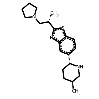 C[C@H]1CC[C@H](c2ccc3sc([C@@H](C)CN4CCCC4)nc3c2)NC1